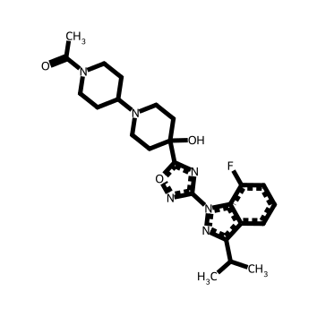 CC(=O)N1CCC(N2CCC(O)(c3nc(-n4nc(C(C)C)c5cccc(F)c54)no3)CC2)CC1